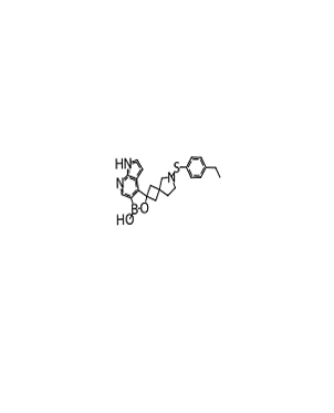 CCc1ccc(SN2CCC3(C2)CC2(C3)OB(O)c3cnc4[nH]ccc4c32)cc1